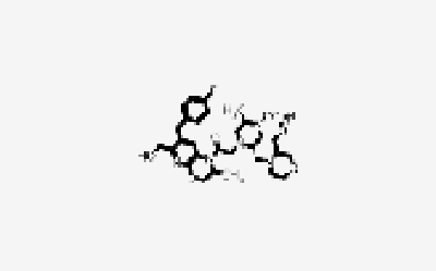 CC(C)OCC1COCCN1C[C@H]1CN(C(=O)O)[C@H](C)CN1CC(=O)N1c2cc(Cc3ccc(F)cc3)c(CO)nc2OCC1C